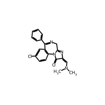 CN(C)C=C1N=C2CN=C(c3ccccc3)c3cc(Cl)ccc3N2C1=O